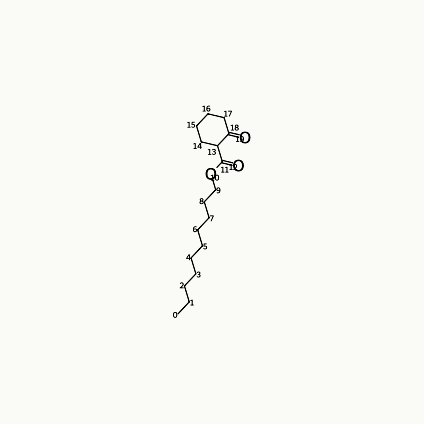 CCCCCCCCCCOC(=O)C1CCCCC1=O